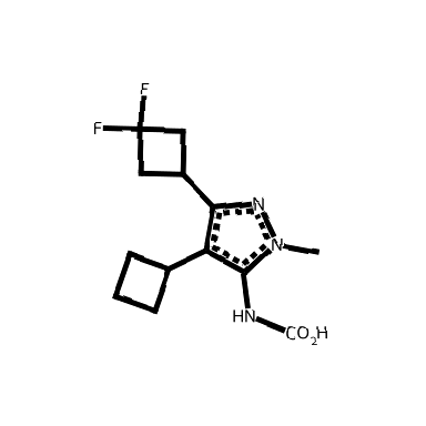 Cn1nc(C2CC(F)(F)C2)c(C2CCC2)c1NC(=O)O